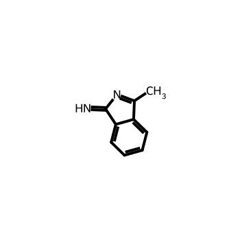 CC1=NC(=N)c2ccccc21